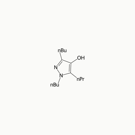 CCCCc1nn(CCCC)c(CCC)c1O